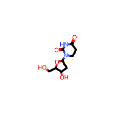 O=C1CCN(C2CC(O)C(CO)O2)C(=O)N1